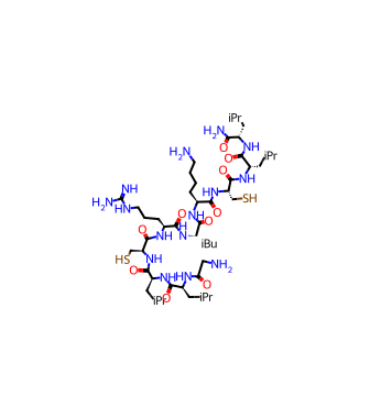 CC[C@H](C)[C@H](NC(=O)[C@H](CCCNC(=N)N)NC(=O)[C@H](CS)NC(=O)[C@H](CC(C)C)NC(=O)[C@H](CC(C)C)NC(=O)CN)C(=O)N[C@@H](CCCCN)C(=O)N[C@@H](CS)C(=O)N[C@@H](CC(C)C)C(=O)N[C@@H](CC(C)C)C(N)=O